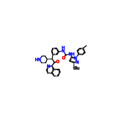 Cc1ccc(-n2nc(C(C)(C)C)cc2NC(=O)Nc2cccc(C(C(=O)c3nccc4ccccc34)C3CCNCC3)c2)cc1